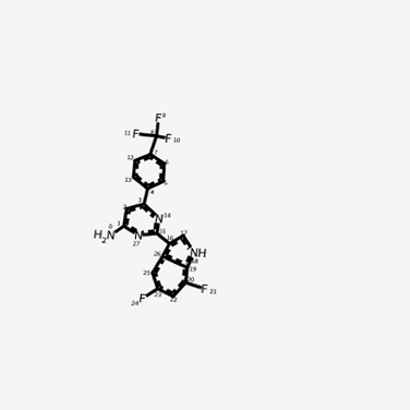 Nc1cc(-c2ccc(C(F)(F)F)cc2)nc(-c2c[nH]c3c(F)cc(F)cc23)n1